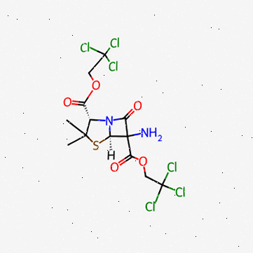 CC1(C)S[C@H]2N(C(=O)C2(N)C(=O)OCC(Cl)(Cl)Cl)[C@H]1C(=O)OCC(Cl)(Cl)Cl